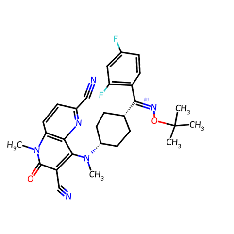 Cn1c(=O)c(C#N)c(N(C)[C@H]2CC[C@@H](/C(=N\OC(C)(C)C)c3ccc(F)cc3F)CC2)c2nc(C#N)ccc21